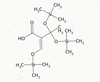 CC(O[Si](C)(C)C)(O[Si](C)(C)C)C(=CO[Si](C)(C)C)C(=O)O